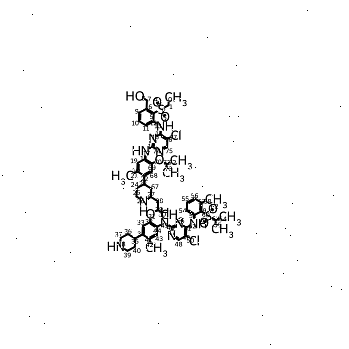 CCS(=O)(=O)c1c(CO)cccc1Nc1nc(Nc2cc(C)c(C3CCNC(CC(C)Oc4cc(C5CCNCC5)c(C)cc4Nc4ncc(Cl)c(Nc5cccc(C)c5S(=O)(=O)C(C)C)n4)C3)cc2OC(C)C)ncc1Cl